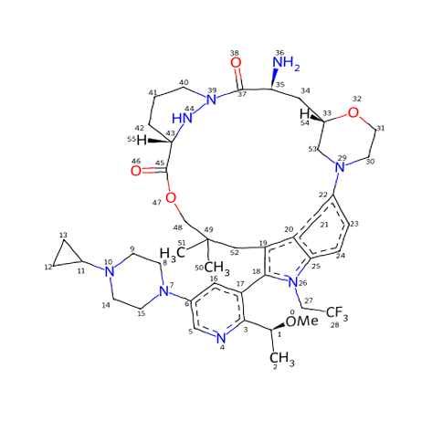 CO[C@@H](C)c1ncc(N2CCN(C3CC3)CC2)cc1-c1c2c3cc(ccc3n1CC(F)(F)F)N1CCO[C@@H](C[C@H](N)C(=O)N3CCC[C@H](N3)C(=O)OCC(C)(C)C2)C1